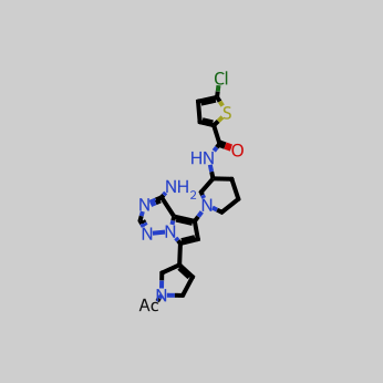 CC(=O)N1CC=C(c2cc(N3CCCC(NC(=O)c4ccc(Cl)s4)C3)c3c(N)ncnn23)C1